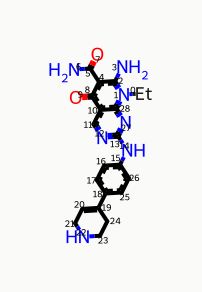 CCn1c(N)c(C(N)=O)c(=O)c2cnc(Nc3ccc(C4=CCNCC4)cc3)nc21